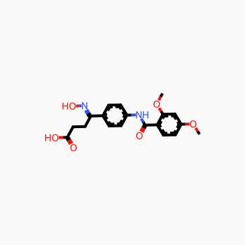 COc1ccc(C(=O)Nc2ccc(/C(CCC(=O)O)=N/O)cc2)c(OC)c1